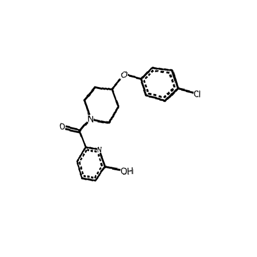 O=C(c1cccc(O)n1)N1CCC(Oc2ccc(Cl)cc2)CC1